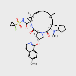 COc1ccc2c(O[C@@H]3C[C@H]4C(=O)N[C@]5(C(=O)NS(=O)(=O)C6(F)CC6)C[C@H]5C=CCC[C@@H](C)C[C@@H](C)[C@H](N(C(=O)O)C5CCCC5)C(=O)N4C3)nccc2c1